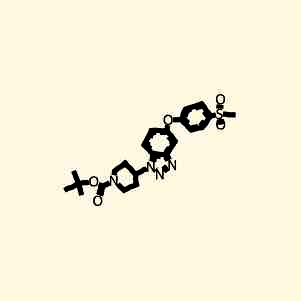 CC(C)(C)OC(=O)N1CCC(n2nnc3cc(Oc4ccc(S(C)(=O)=O)cc4)ccc32)CC1